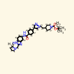 C[C@H]1CCCN1Cc1nc2cc(NC(=O)c3ccc(-c4cnn(CCC5CCN(C(=O)OC(C)(C)C)CC5)c4)cc3)ccc2[nH]1